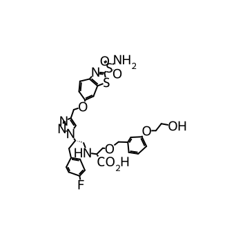 NS(=O)(=O)c1nc2ccc(OCc3cn([C@H](CN[C@@H](COCc4cccc(OCCO)c4)C(=O)O)Cc4ccc(F)cc4)nn3)cc2s1